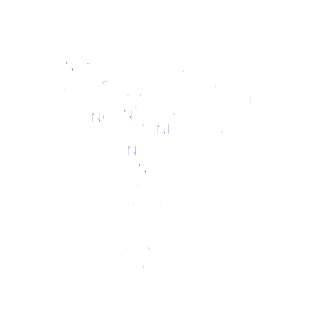 CC1CN(/C(=N\C#N)Nc2cc(OC(F)F)ccc2OCCCN(C)C)N=C1c1ccc(Cl)c(Cl)c1